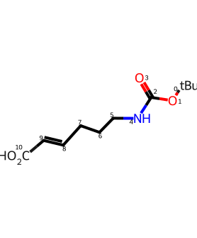 CC(C)(C)OC(=O)NCCCC=CC(=O)O